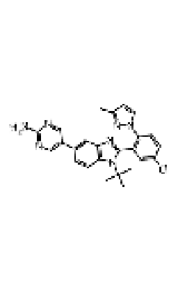 Cc1ccn(-c2ccc(Cl)cc2-c2nc3cc(-c4cnc(N)nc4)ccc3n2C(C)(C)C)n1